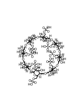 O=S(=O)(O)OC[C@H]1O[C@@H]2O[C@H]3[C@H](O)[C@@H](O)[C@@H](O[C@H]4[C@H](O)[C@@H](O)[C@@H](O[C@H]5[C@H](O)[C@@H](O)[C@@H](O[C@H]6[C@H](O)[C@@H](O)[C@@H](O[C@H]7[C@H](O)[C@@H](O)[C@@H](O[C@H]8[C@H](O)[C@@H](O)[C@@H](O[C@H]9[C@H](O)[C@@H](O)C(O[C@H]1[C@H](O)[C@H]2O)O[C@@H]9COS(=O)(=O)O)O[C@@H]8COS(=O)(=O)O)O[C@@H]7COS(=O)(=O)O)O[C@@H]6COS(=O)(=O)O)O[C@@H]5COS(=O)(=O)O)O[C@@H]4COS(=O)(=O)O)O[C@@H]3COS(=O)(=O)O